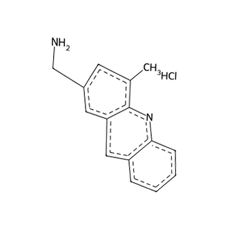 Cc1cc(CN)cc2cc3ccccc3nc12.Cl